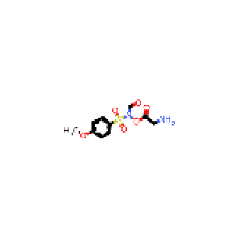 COc1ccc(S(=O)(=O)N(C=O)OC(=O)CN)cc1